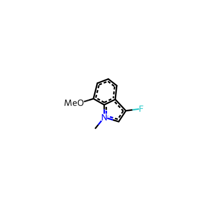 COc1cccc2c(F)cn(C)c12